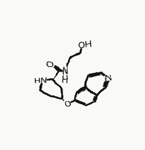 O=C(NCCO)[C@H]1C[C@H](Oc2ccc3cnccc3c2)CCN1